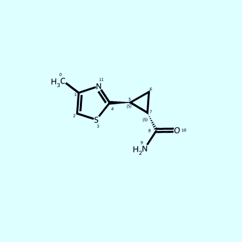 Cc1csc([C@H]2C[C@@H]2C(N)=O)n1